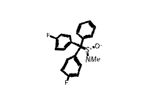 CN[S+]([O-])C(c1ccccc1)(c1ccc(F)cc1)c1ccc(F)cc1